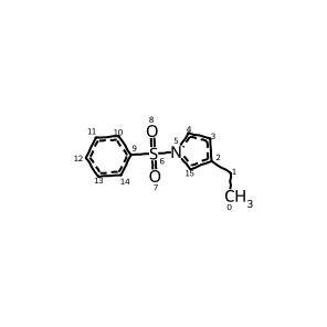 CCc1ccn(S(=O)(=O)c2ccccc2)c1